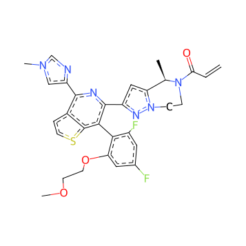 C=CC(=O)N1CCn2nc(-c3nc(-c4cn(C)cn4)c4ccsc4c3-c3c(F)cc(F)cc3OCCOC)cc2[C@H]1C